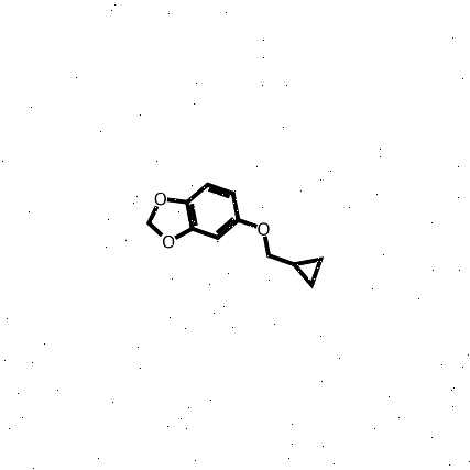 [c]1c(OCC2CC2)ccc2c1OCO2